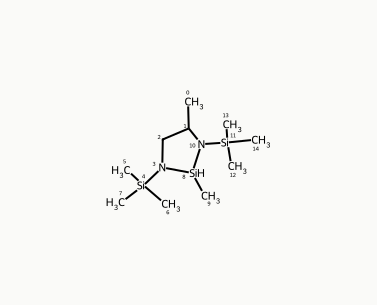 CC1CN([Si](C)(C)C)[SiH](C)N1[Si](C)(C)C